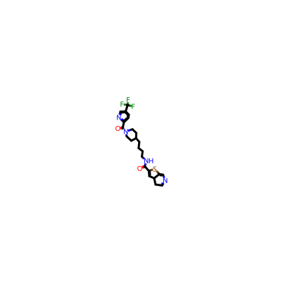 O=C(NCCCCC1CCN(C(=O)c2ccc(C(F)(F)F)cn2)CC1)C1=CC2CC=NC=C2S1